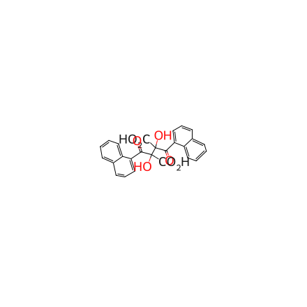 O=C(O)C(O)(C(=O)c1cccc2ccccc12)C(O)(C(=O)O)C(=O)c1cccc2ccccc12